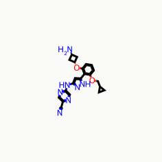 N#Cc1cnc(Nc2cc(-c3c(OCC4CC4)cccc3O[C@H]3C[C@H](N)C3)[nH]n2)cn1